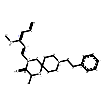 C=C/C=C(\N=C\N1CC2(CCN(CCc3ccccc3)CC2)OC(C)C1=O)OC